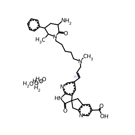 CC1C(c2ccccc2)CC(N)C(=O)N1CCCCCN(C)C/C=C/c1cnc2c(c1)C1(Cc3cc(C(=O)O)cnc3C1)C(=O)N2.O.O.O.O